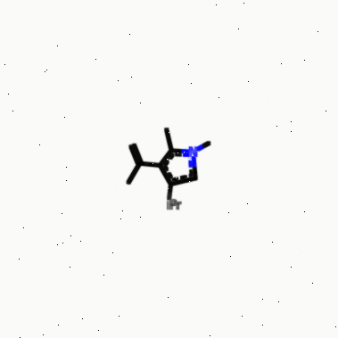 C=C(C)c1c(C(C)C)cn(C)c1C